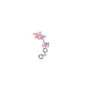 O=C(NCCCNS(=O)(=O)c1ccc(Oc2ccccc2)cc1)P(=O)(O)O